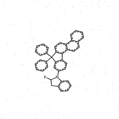 FC1Cc2ccccc2N1c1ccc2c(c1)C(c1ccccc1)(c1ccccc1)c1ccc3c(ccc4ccccc43)c1-2